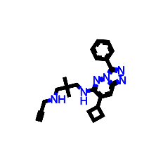 C#CCNCC(C)(C)CNc1nn2c(-c3ccccc3)nnc2cc1C1CCC1